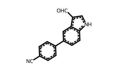 N#Cc1ccc(-c2ccc3[nH]cc(C=O)c3c2)cc1